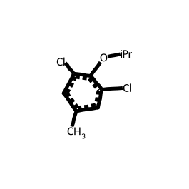 Cc1cc(Cl)c(OC(C)C)c(Cl)c1